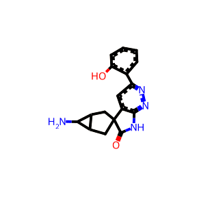 NC1C2CC3(CC12)C(=O)Nc1nnc(-c2ccccc2O)cc13